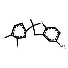 CC1(c2ccc(Cl)c(F)c2)Cc2cc(N)ccc2O1